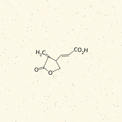 C=C1C(=O)OCC1C=CC(=O)O